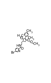 CCOCOC1=C(c2c(C)cc(C)cc2C)C(=O)C(CCNC(=O)c2ccc(Br)cn2)C1